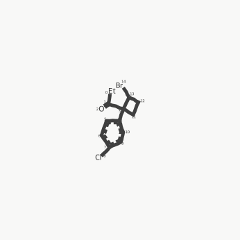 CCC(=O)C1(c2ccc(Cl)cc2)CCC1Br